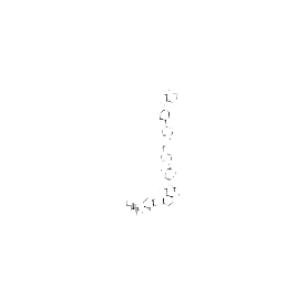 CCN(C)S(=O)(=O)Nc1ccc(F)c(Oc2ccc3ncn(-c4cnc(N5CCN(C(=O)CN6CCC(c7ccc(N[C@H]8CCC(=O)NC8=O)cc7F)CC6)CC5)nc4)c(=O)c3c2)c1F